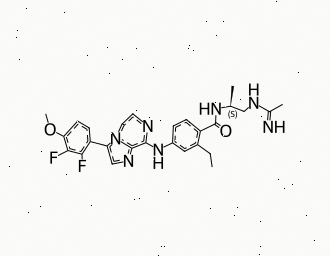 CCc1cc(Nc2nccn3c(-c4ccc(OC)c(F)c4F)cnc23)ccc1C(=O)N[C@@H](C)CNC(C)=N